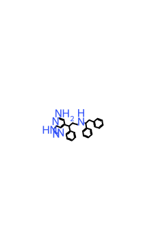 Nc1cc(C(CCNC(Cc2ccccc2)c2ccccc2)c2ccccc2)c2nn[nH]c2n1